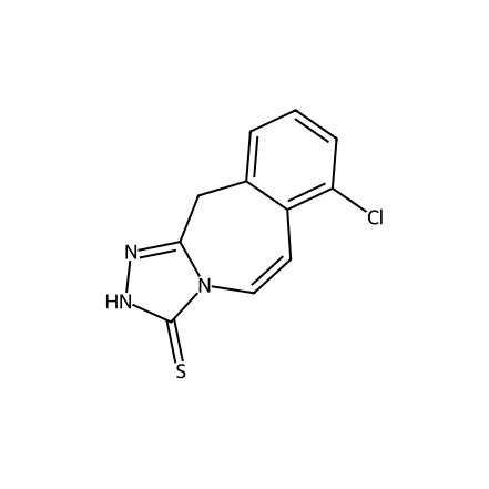 S=c1[nH]nc2n1C=Cc1c(Cl)cccc1C2